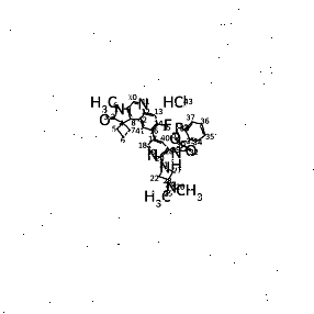 CN1C(=O)C2(CCC2)c2c1cnc1cc(F)c(-c3cnc(N4CC(N(C)C)C4)c(NS(=O)(=O)c4ccccc4F)c3)cc21.Cl